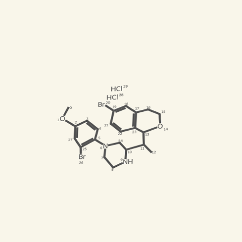 COc1ccc(N2CCNC(C(C)C3OCCc4cc(Br)ccc43)C2)c(Br)c1.Cl.Cl